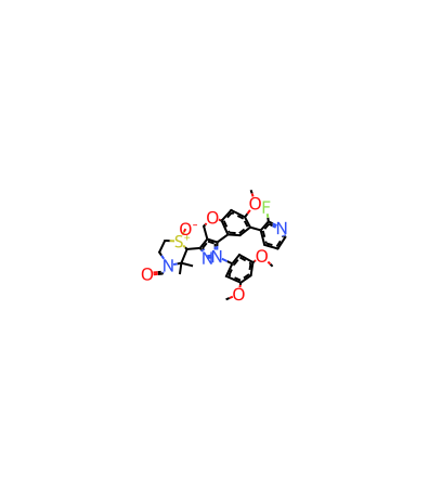 COc1cc(OC)cc(-n2nc(C3[S+]([O-])CCN(C=O)C3(C)C)c3c2-c2cc(-c4cccnc4F)c(OC)cc2OC3)c1